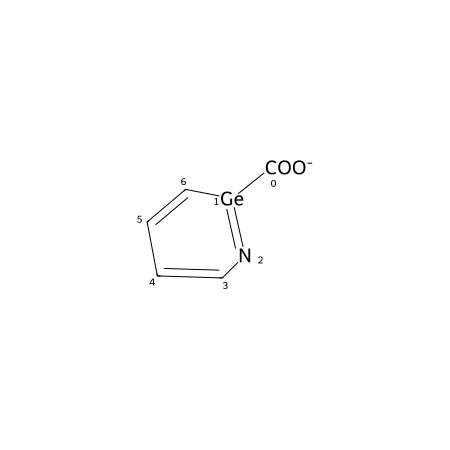 O=[C]([O-])[Ge]1=[N]C=CC=[CH]1